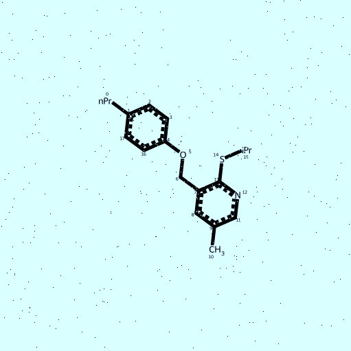 CCCc1ccc(OCc2cc(C)cnc2SC(C)C)cc1